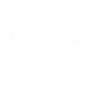 COc1cc2cc(-c3ccc(C)cc3)nc(C)c2cc1OC